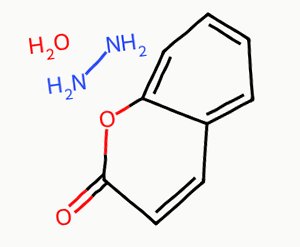 NN.O.O=c1ccc2ccccc2o1